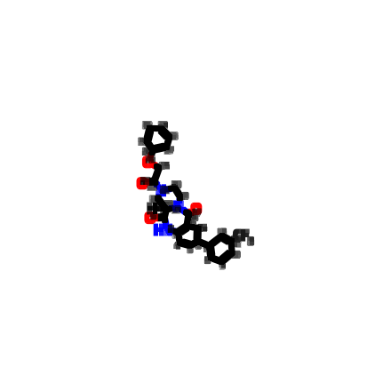 O=C1Nc2ccc(-c3cccc(C(F)(F)F)c3)cc2C(=O)N2CCN(C(=O)COc3ccccc3)C[C@@H]12